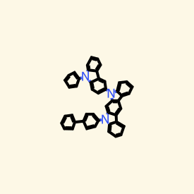 c1ccc(-c2ccc(-n3c4ccccc4c4cc5c6ccccc6n(-c6ccc7c(c6)c6ccccc6n7-c6ccccc6)c5cc43)cc2)cc1